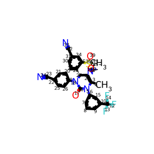 [C-]#[N+]C1=C(C)N(c2cccc(C(F)(F)F)c2)C(=O)N(c2ccc(C#N)cc2)[C@@H]1c1ccc(C#N)cc1S(C)(=O)=O